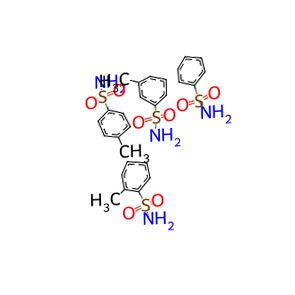 Cc1ccc(S(N)(=O)=O)cc1.Cc1cccc(S(N)(=O)=O)c1.Cc1ccccc1S(N)(=O)=O.NS(=O)(=O)c1ccccc1